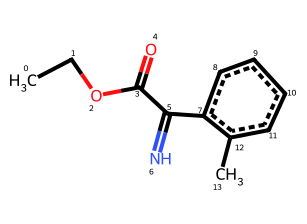 CCOC(=O)C(=N)c1ccccc1C